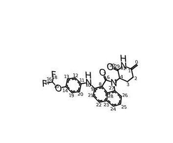 C=C1CCC(N2C(=O)c3c(Nc4ccc(OC(F)F)cc4)ccc4cccc2c34)C(=O)N1